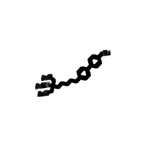 CCCCc1ccc(-c2ccc(CCCCCC(COC(C)=O)(COC(C)=O)NC(C)=O)cc2)cc1